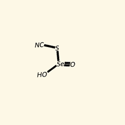 N#CS[Se](=O)O